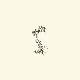 CCC(O[C@@H](C)CO)n1cc(C#Cc2cccc(OC(=O)CC(C)NC(=O)OC(C)(C)C)c2)c(=O)[nH]c1=O